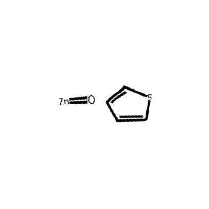 [O]=[Zn].c1ccsc1